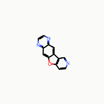 c1cc2oc3cc4nccnc4cc3c2cn1